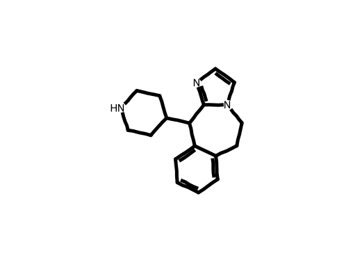 c1ccc2c(c1)CCn1ccnc1C2C1CCNCC1